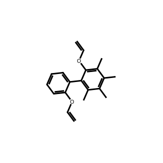 C=COc1ccccc1-c1c(C)c(C)c(C)c(C)c1OC=C